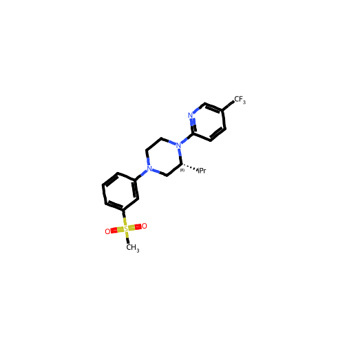 CC(C)[C@@H]1CN(c2cccc(S(C)(=O)=O)c2)CCN1c1ccc(C(F)(F)F)cn1